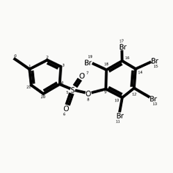 Cc1ccc(S(=O)(=O)Oc2c(Br)c(Br)c(Br)c(Br)c2Br)cc1